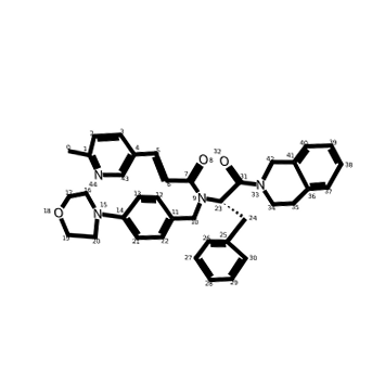 Cc1ccc(C=CC(=O)N(Cc2ccc(N3CCOCC3)cc2)[C@@H](Cc2ccccc2)C(=O)N2CCc3ccccc3C2)cn1